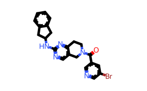 O=C(c1cncc(Br)c1)N1CCc2nc(NC3Cc4ccccc4C3)ncc2C1